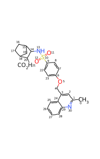 Cc1cc(COc2ccc(S(=O)(=O)NC3C4CCC(C4)C3C(=O)O)cc2)c2ccccc2n1